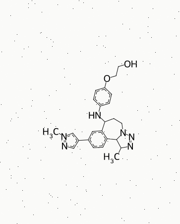 CC1N=NN2CCC(Nc3ccc(OCCO)cc3)c3cc(-c4cnn(C)c4)ccc3C12